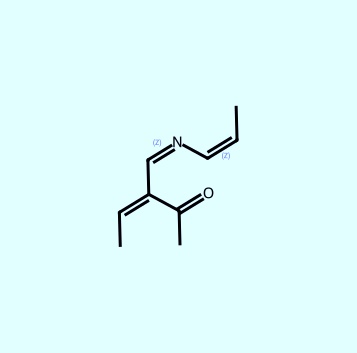 CC=C(/C=N\C=C/C)C(C)=O